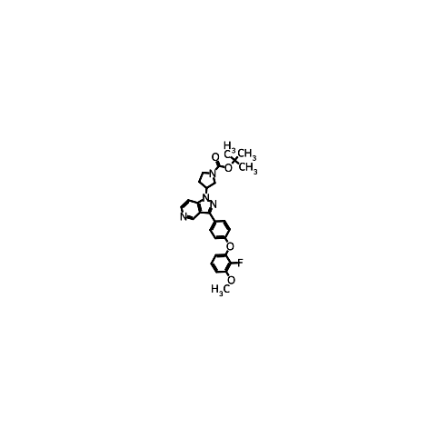 COc1cccc(Oc2ccc(-c3nn(C4CCN(C(=O)OC(C)(C)C)C4)c4ccncc34)cc2)c1F